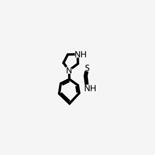 N=C=S.c1ccc(N2CCNC2)cc1